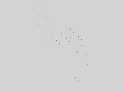 CCN(CC)CCOc1ccc(Nc2ncc3cc(Oc4ccc(F)cc4)c(=O)n(C)c3n2)cc1